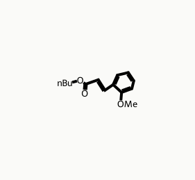 CCCCOC(=O)/C=C/c1ccccc1OC